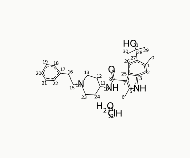 Cc1cc2[nH]c(C)c(C(=O)NC3CCN(CCc4ccccc4)CC3)c2cc1C(C)(C)O.Cl.O